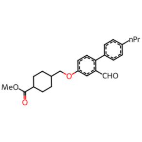 CCCc1ccc(-c2ccc(OCC3CCC(C(=O)OC)CC3)cc2C=O)cc1